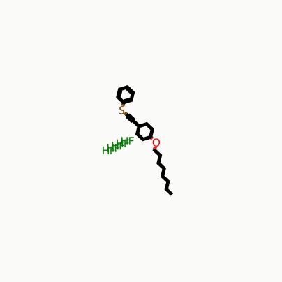 CCCCCCCCOC1CCC(C#CSc2ccccc2)CC1.F.F.F.F.F